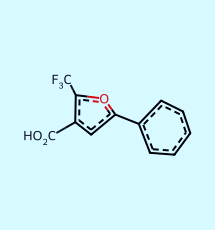 O=C(O)c1cc(-c2ccccc2)oc1C(F)(F)F